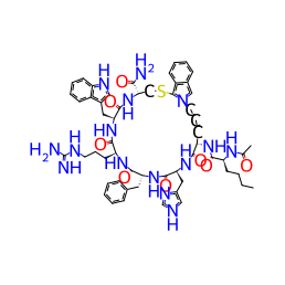 CCCC[C@H](NC(C)=O)C(=O)N[C@H]1CCCn2cc3ccccc3c2SC[C@@H](C(N)=O)NC(=O)[C@H](Cc2c[nH]c3ccccc23)NC(=O)[C@H](CCCNC(=N)N)NC(=O)[C@@H](Cc2ccccc2)NC(=O)[C@H](Cc2c[nH]cn2)NC1=O